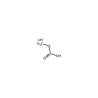 COS(=O)O.[LiH]